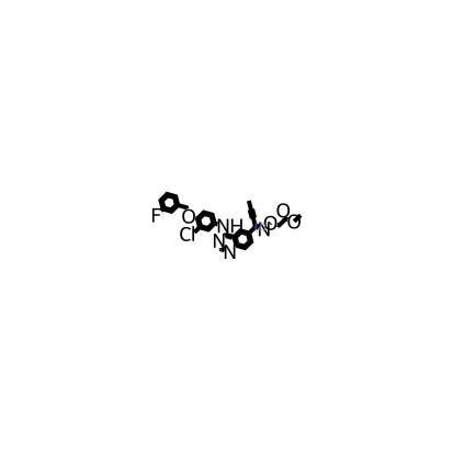 CC#C/C(=N\OCC(=O)OC)c1ccc2ncnc(Nc3ccc(OCc4cccc(F)c4)c(Cl)c3)c2c1